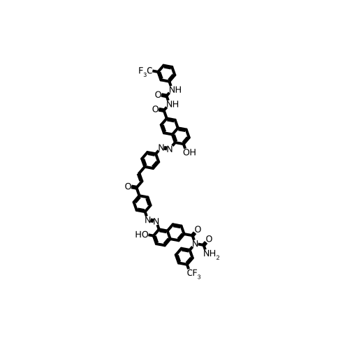 NC(=O)N(C(=O)c1ccc2c(N=Nc3ccc(C(=O)C=Cc4ccc(N=Nc5c(O)ccc6cc(C(=O)NC(=O)Nc7cccc(C(F)(F)F)c7)ccc56)cc4)cc3)c(O)ccc2c1)c1cccc(C(F)(F)F)c1